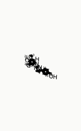 COc1cc(Nc2nccc(-c3ccc(CO)cc3)n2)cc(OC)c1OC